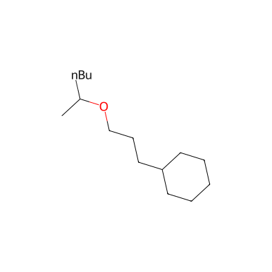 CCCCC(C)OCCCC1CCCCC1